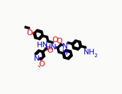 CCOc1ccc(CC(NC(=O)c2ccnc(OC)c2)C(=O)NC(Cc2ccccc2)C(=O)NCc2ccc(CN)cc2)cc1